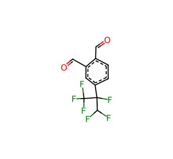 O=Cc1ccc(C(F)(C(F)F)C(F)(F)F)cc1C=O